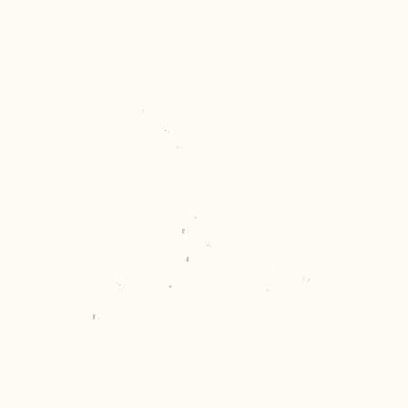 O=C(CC(O)CN/C(=N\C(=O)OCc1ccc([N+](=O)[O-])cc1)NC(=O)OCc1ccc([N+](=O)[O-])cc1)NC1CNC1.O=C(O)C(F)(F)F